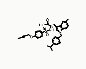 CC#CCOc1ccc(S(=O)(=O)N[C@@H](Cc2cn(Cc3ccc(C(C)C)cc3)c3ccc(C)cc23)C(=O)O)cc1